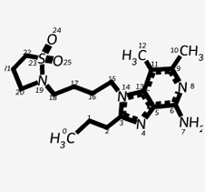 CCCc1nc2c(N)nc(C)c(C)c2n1CCCCN1CCCS1(=O)=O